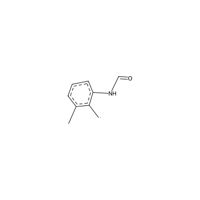 [CH2]c1c(C)cccc1NC=O